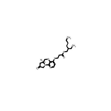 CCCCC(CC)COC(=O)CCSc1ccnc2c1OC[C@@H]1CC(=O)CN21